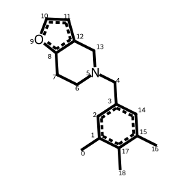 Cc1cc(CN2CCc3occc3C2)cc(C)c1C